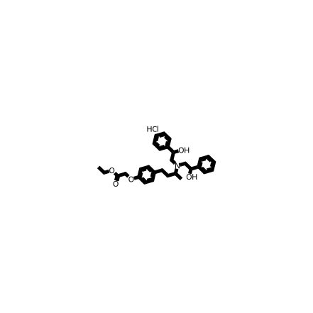 CCOC(=O)COc1ccc(CCC(C)N(CC(O)c2ccccc2)CC(O)c2ccccc2)cc1.Cl